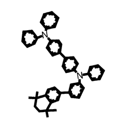 CC1(C)CCC(C)(C)c2cc(-c3cccc(N(c4ccccc4)c4ccc(-c5ccc(N(c6ccccc6)c6ccccc6)cc5)cc4)c3)ccc21